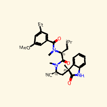 CCc1cc(OC)cc(C(=O)N(C)[C@@H](CC(C)C)C(=O)N(C)[C@H](C#N)C[C@@]2(C)C(=O)Nc3ccccc32)c1